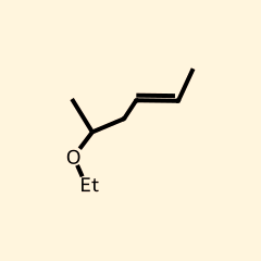 CC=CCC(C)OCC